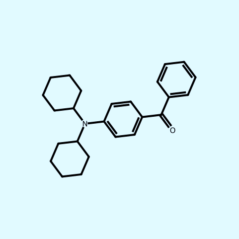 O=C(c1ccccc1)c1ccc(N(C2CCCCC2)C2CCCCC2)cc1